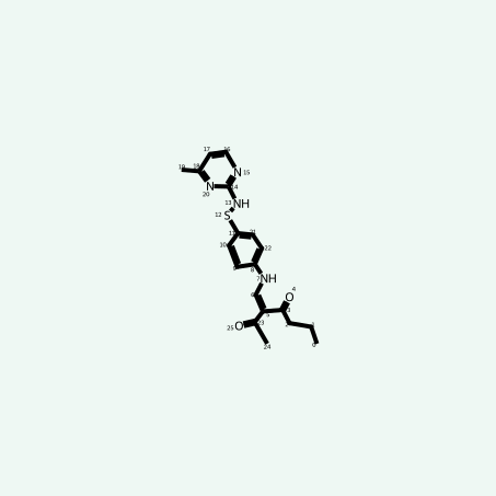 CCCC(=O)/C(=C\Nc1ccc(SNc2nccc(C)n2)cc1)C(C)=O